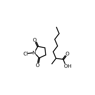 CCCCCC(C)C(=O)O.O=C1CCC(=O)N1Cl